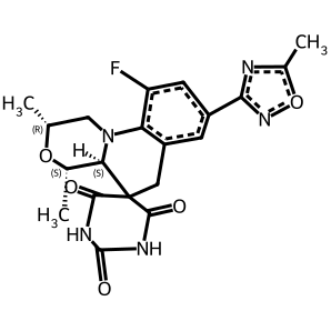 Cc1nc(-c2cc(F)c3c(c2)CC2(C(=O)NC(=O)NC2=O)[C@H]2[C@H](C)O[C@H](C)CN32)no1